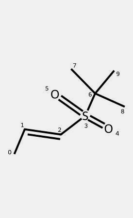 CC=CS(=O)(=O)C(C)(C)C